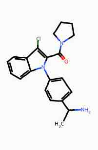 CC(N)c1ccc(-n2c(C(=O)N3CCCC3)c(Cl)c3ccccc32)cc1